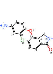 Nc1ccc(Oc2cccc3c2CNC3=O)c(Cl)c1